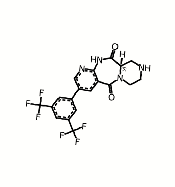 O=C1Nc2ncc(-c3cc(C(F)(F)F)cc(C(F)(F)F)c3)cc2C(=O)N2CCNC[C@@H]12